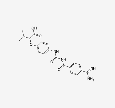 CC(C)C(Oc1ccc(NC(=O)NC(=O)c2ccc(C(=N)N)cc2)cc1)C(=O)O